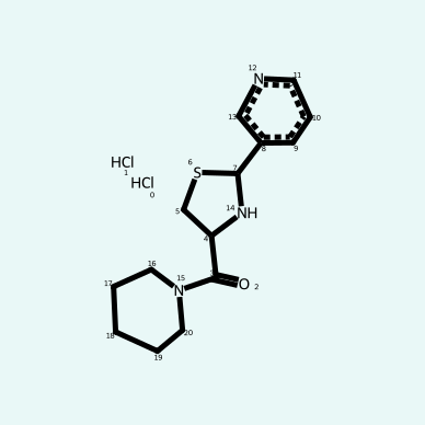 Cl.Cl.O=C(C1CSC(c2cccnc2)N1)N1CCCCC1